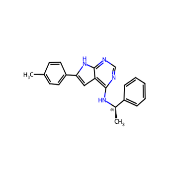 Cc1ccc(-c2cc3c(N[C@H](C)c4ccccc4)ncnc3[nH]2)cc1